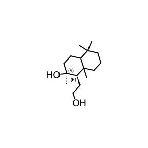 CC1(C)CCCC2(C)C1CC[C@](C)(O)[C@@H]2CCO